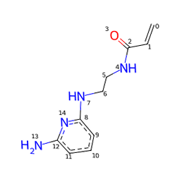 C=CC(=O)NCCNc1cccc(N)n1